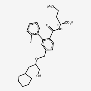 CSCC[C@H](NC(=O)c1ccc(COC(CO)CC2CCCCC2)cc1-c1ccccc1C)C(=O)O